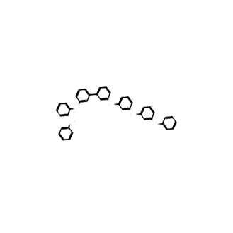 c1ccc(Oc2cccc(Oc3cccc(Oc4cccc(-c5cccc(Oc6ccccc6Oc6ccccc6)c5)c4)c3)c2)cc1